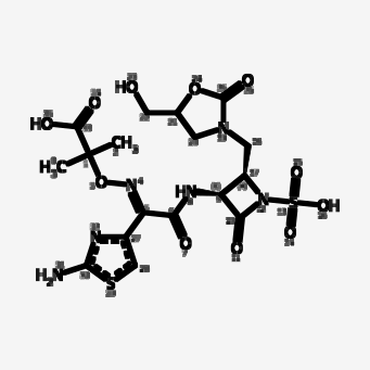 CC(C)(ON=C(C(=O)N[C@@H]1C(=O)N(S(=O)(=O)O)[C@@H]1CN1CC(CO)OC1=O)c1csc(N)n1)C(=O)O